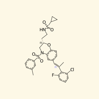 C/C(=C\c1ccc2c(c1)N(S(=O)(=O)c1cccc(C)c1)C[C@H](CCNS(=O)(=O)C1CC1)O2)c1c(F)cccc1Cl